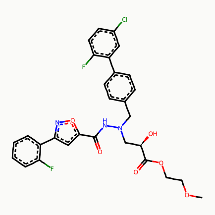 COCCOC(=O)[C@H](O)CN(Cc1ccc(-c2cc(Cl)ccc2F)cc1)NC(=O)c1cc(-c2ccccc2F)no1